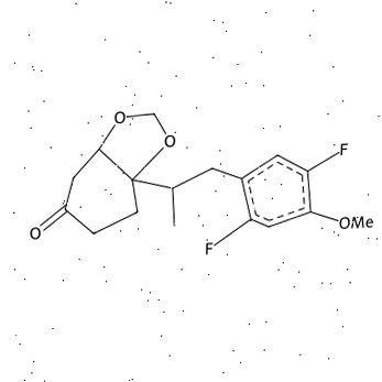 COc1cc(F)c(CC(C)C23CCC(=O)CC2OCO3)cc1F